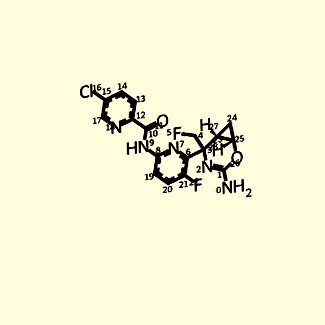 NC1=NC(CF)(c2nc(NC(=O)c3ccc(Cl)cn3)ccc2F)[C@@H]2C[C@@H]2O1